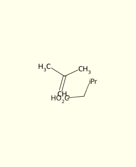 C=C(C)C.CC(C)CC(=O)O